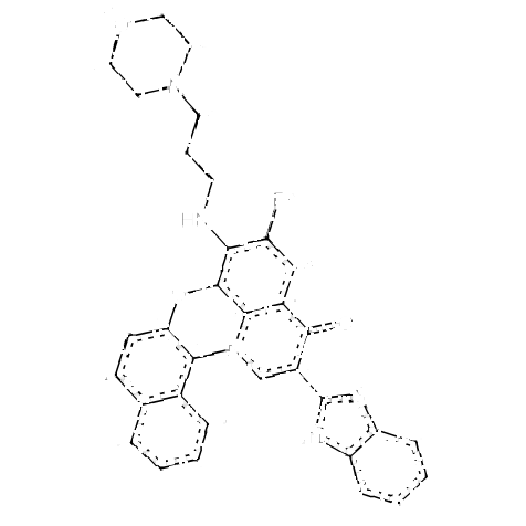 O=c1c(-c2nc3ccccc3s2)cn2c3c(c(NCCCN4CCOCC4)c(F)cc13)Oc1ccc3ccccc3c1-2